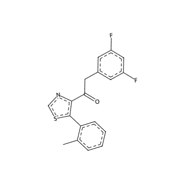 Cc1ccccc1-c1scnc1C(=O)Cc1cc(F)cc(F)c1